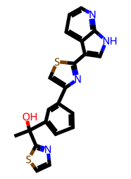 CC(O)(c1cccc(-c2csc(-c3c[nH]c4ncccc34)n2)c1)c1nccs1